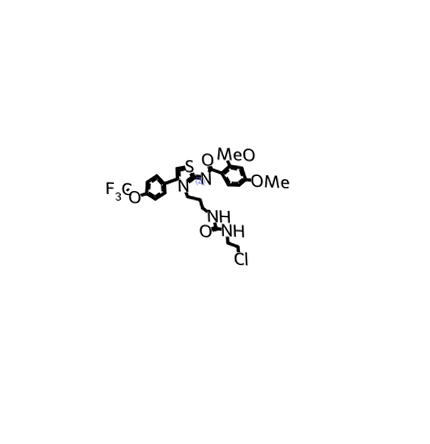 COc1ccc(C(=O)/N=c2\scc(-c3ccc(OC(F)(F)F)cc3)n2CCCNC(=O)NCCCl)c(OC)c1